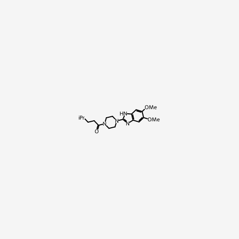 COc1cc2nc(N3CCN(C(=O)CCC(C)C)CC3)[nH]c2cc1OC